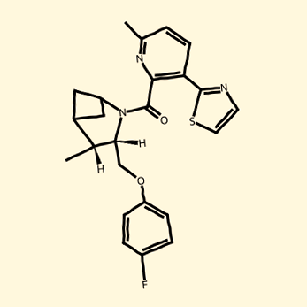 Cc1ccc(-c2nccs2)c(C(=O)N2C3CC(C3)[C@@H](C)[C@H]2COc2ccc(F)cc2)n1